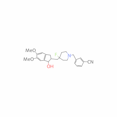 COc1cc2c(cc1OC)C(O)C(CC1(F)CCN(Cc3cccc(C#N)c3)CC1)C2